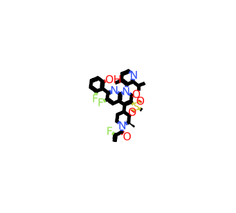 C=C(F)C(=O)N1CCC(c2c(S(C)(=O)=O)c(=O)n(-c3c(C)ccnc3C(C)C)c3nc(-c4c(O)cccc4F)c(F)cc23)C[C@H]1C